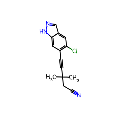 CC(C)(C#Cc1cc2[nH]ncc2cc1Cl)CC#N